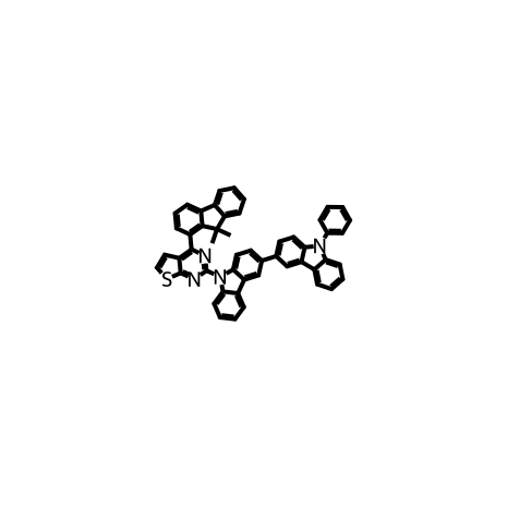 CC1(C)c2ccccc2-c2cccc(-c3nc(-n4c5ccccc5c5cc(-c6ccc7c(c6)c6ccccc6n7-c6ccccc6)ccc54)nc4sccc34)c21